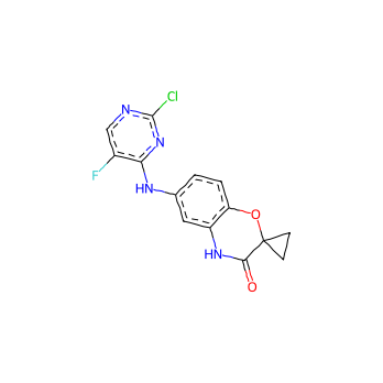 O=C1Nc2cc(Nc3nc(Cl)ncc3F)ccc2OC12CC2